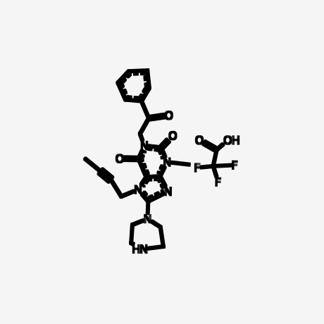 CC#CCn1c(N2CCNCC2)nc2c1c(=O)n(CC(=O)c1ccccc1)c(=O)n2C.O=C(O)C(F)(F)F